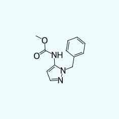 COC(=O)Nc1ccnn1Cc1ccccc1